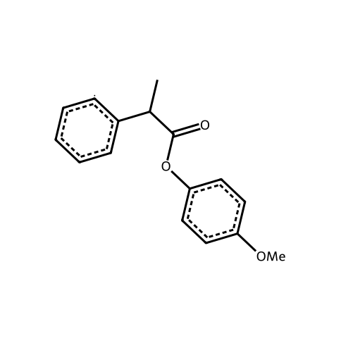 COc1ccc(OC(=O)C(C)c2[c]cccc2)cc1